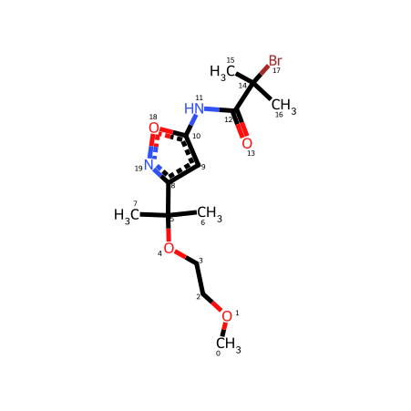 COCCOC(C)(C)c1cc(NC(=O)C(C)(C)Br)on1